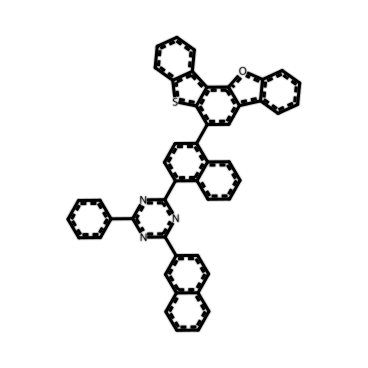 c1ccc(-c2nc(-c3ccc4ccccc4c3)nc(-c3ccc(-c4cc5c6ccccc6oc5c5c4sc4ccccc45)c4ccccc34)n2)cc1